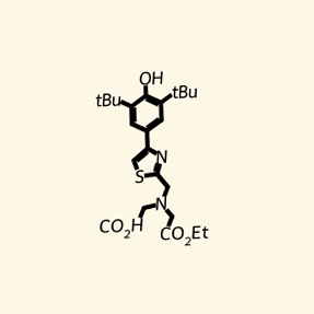 CCOC(=O)CN(CC(=O)O)Cc1nc(-c2cc(C(C)(C)C)c(O)c(C(C)(C)C)c2)cs1